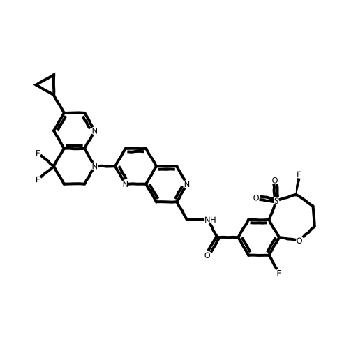 O=C(NCc1cc2nc(N3CCC(F)(F)c4cc(C5CC5)cnc43)ccc2cn1)c1cc(F)c2c(c1)S(=O)(=O)[C@@H](F)CCO2